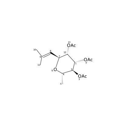 CC(=O)O[C@@H]1[C@@H](OC(C)=O)[C@H](C)O[C@@H](C=C(C)C)[C@@H]1OC(C)=O